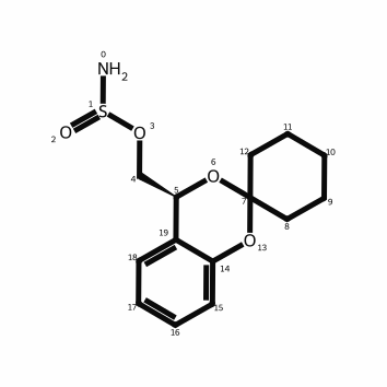 NS(=O)OC[C@H]1OC2(CCCCC2)Oc2ccccc21